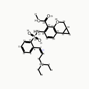 CCN(CC)C/C=C\c1ccccc1S(=O)(=O)Nc1ccc2c(c1C(=O)OC)OCC1CC21